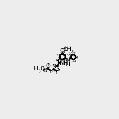 COC(=O)C[C@@H]1CSC(c2cc3cc(OC)cc(NC4CCCC4)c3[nH]2)=N1